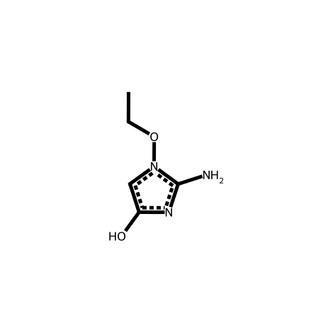 CCOn1cc(O)nc1N